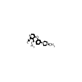 [C-]#[N+]c1nccc(Oc2cccc(N3CCN(C)CC3)c2)c1CC